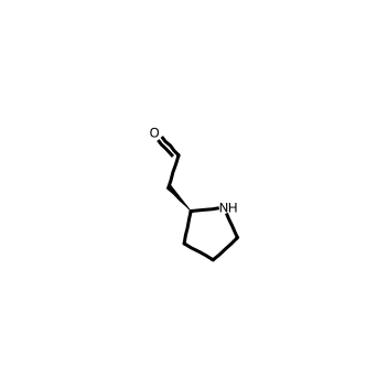 O=CC[C@@H]1CCCN1